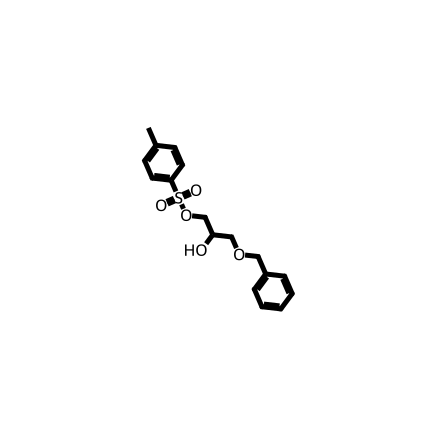 Cc1ccc(S(=O)(=O)OCC(O)COCc2ccccc2)cc1